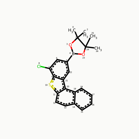 CC1(C)OB(c2cc(Cl)c3sc4ccc5ccccc5c4c3c2)OC1(C)C